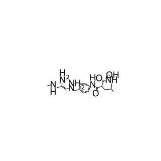 CNC/C(N)=C/N(N)Cc1ccc(NC(=O)C(CC(C)C)C(=O)NO)cc1